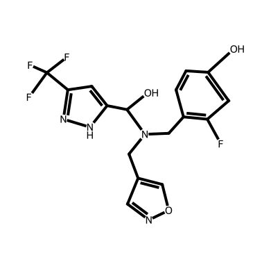 Oc1ccc(CN(Cc2cnoc2)C(O)c2cc(C(F)(F)F)n[nH]2)c(F)c1